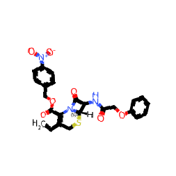 C=CC1=C(C(=O)OCc2ccc([N+](=O)[O-])cc2)N2C(=O)C(NC(=O)COc3ccccc3)[C@@H]2SC1